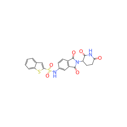 O=C1CCC(N2C(=O)c3ccc(NS(=O)(=O)c4cc5ccccc5s4)cc3C2=O)C(=O)N1